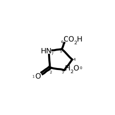 O.O=C1CCC(C(=O)O)N1